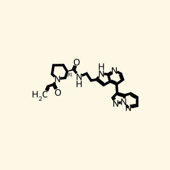 C=CC(=O)N1CCC[C@@H](C(=O)NCCc2cc3c(-c4cnn5ncccc45)ccnc3[nH]2)C1